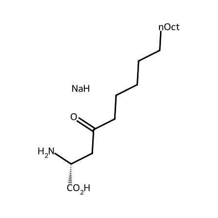 CCCCCCCCCCCCCC(=O)C[C@@H](N)C(=O)O.[NaH]